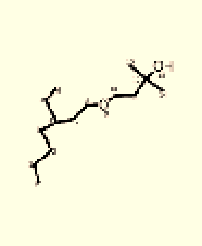 CCCCC(CC)CCOCCC(C)(C)O